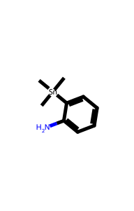 [CH3][Sn]([CH3])([CH3])[c]1ccccc1N